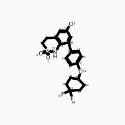 O=S1(=O)CCc2cc(Cl)cc(-c3ccc(OC4CCC(F)(F)CC4)cc3)c2N1